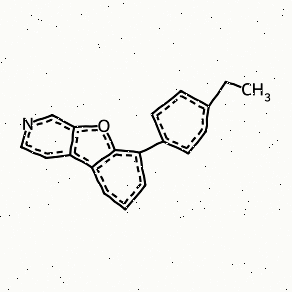 CCc1ccc(-c2cccc3c2oc2cnccc23)cc1